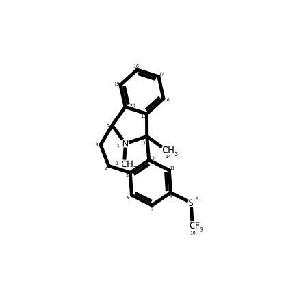 CN1C2CCc3ccc(SC(F)(F)F)cc3C1(C)c1ccccc12